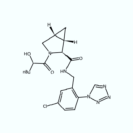 CCCCC(O)C(=O)N1C[C@@H]2C[C@@H]2[C@H]1C(=O)NCc1cc(Cl)ccc1-n1cnnn1